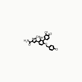 Cn1nc(C(N)=O)cc1-c1ccc(OCc2ccc(Cl)cc2)c(-c2ccc(Cl)c(C(F)(F)F)c2)c1O